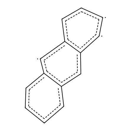 [c]1[c]c2cc3ccccc3[c]c2cc1